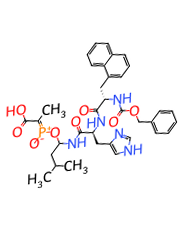 C/C(C(=O)O)=[P+](/[O-])OC(CC(C)C)NC(=O)[C@H](Cc1c[nH]cn1)NC(=O)[C@H](Cc1cccc2ccccc12)NC(=O)OCc1ccccc1